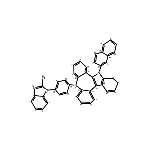 CCc1nc2ccccc2n1-c1ccc(N2c3ccccc3-c3c4c(n(-c5ccc6ccccc6c5)c3-c3ccccc32)CCC=C4)cc1